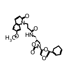 COc1ccc2ccc(=O)n(CCC(=O)NC[C@@H]3CN(C4=COC=C(C5=CC=CCC5)O4)C(=O)O3)c2c1